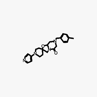 Cc1ccc(CN2CC(=O)N3CC4(CCN(c5ccncc5)CC4)OC3C2)cc1